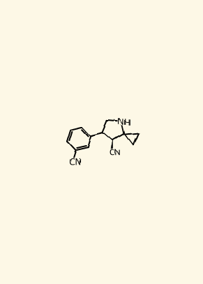 N#Cc1cccc(C2CNC3(CC3)[C@H]2C#N)c1